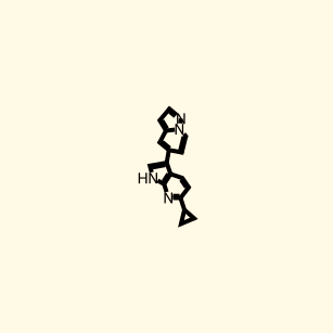 c1cc2cc(-c3c[nH]c4nc(C5CC5)ccc34)ccn2n1